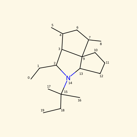 CCC1C2C(C)CC(C)C23CCCC3N1C(C)(C)CC